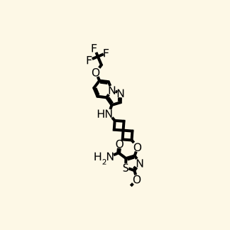 COc1nc(OC2CC3(CC(Nc4cnn5cc(OCC(F)(F)F)ccc45)C3)C2)c(C(N)=O)s1